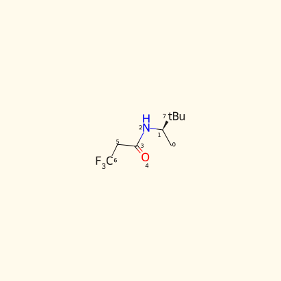 C[C@@H](NC(=O)CC(F)(F)F)C(C)(C)C